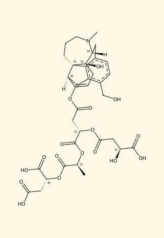 C[C@H](OC(=O)[C@H](CC(=O)OC1=CC[C@@]2(O)[C@H]3Cc4ccc(CO)c5c4[C@@]2(CCCN3C)[C@H]1O5)OC(=O)C[C@H](O)C(=O)O)C(=O)O[C@H](CC(=O)O)C(=O)O